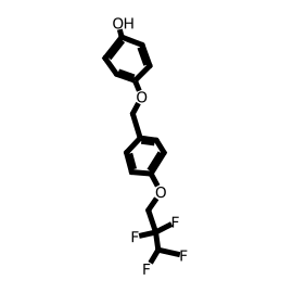 Oc1ccc(OCc2ccc(OCC(F)(F)C(F)F)cc2)cc1